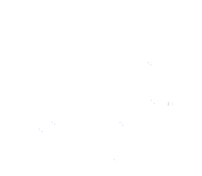 CC(=O)c1cn(CC(=O)N(CC(=O)NCc2cccc(Cl)c2F)C(C)C)c2ccc(-c3ccn(C)n3)cc12